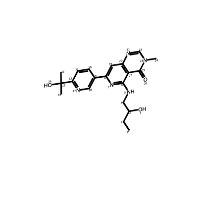 CCC(O)CNc1nc(-c2ccc(C(C)(C)O)nc2)cc2ncn(C)c(=O)c12